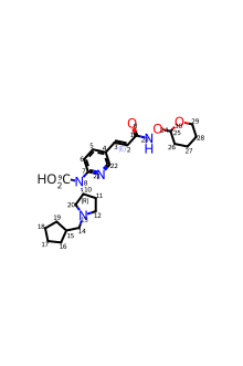 O=C(/C=C/c1ccc(N(C(=O)O)[C@@H]2CCN(CC3CCCC3)C2)nc1)NOC1CCCCO1